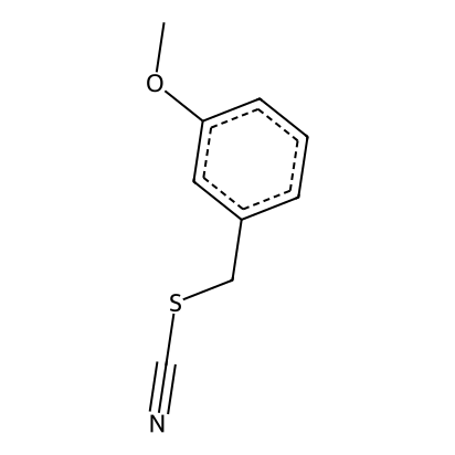 COc1cccc(CSC#N)c1